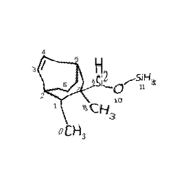 CC1C2C=CC(C2)C1(C)[SiH2]O[SiH3]